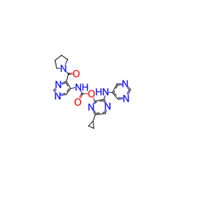 O=C(Nc1cncnc1C(=O)N1CCCC1)Oc1nc(C2CC2)cnc1Nc1cncnc1